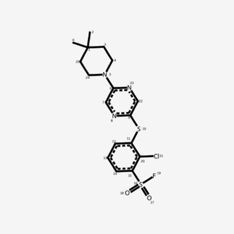 CC1(C)CCN(c2cnc(Sc3cccc(S(=O)(=O)F)c3Cl)cn2)CC1